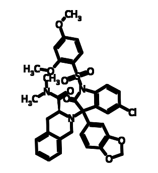 COc1ccc(S(=O)(=O)N2C(=O)C(c3ccc4c(c3)OCO4)(N3Cc4ccccc4C[C@H]3C(=O)N(C)C)c3cc(Cl)ccc32)c(OC)c1